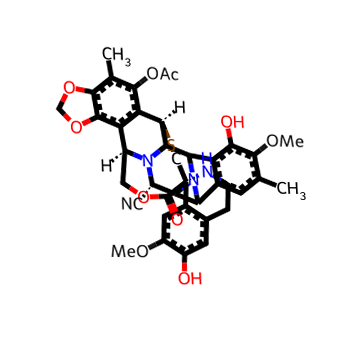 COc1cc2c(cc1O)CCN[C@]21CS[C@@H]2c3c(OC(C)=O)c(C)c4c(c3[C@H](COC1=O)N1C2C2c3c(cc(C)c(OC)c3O)C3C([C@@H]1C#N)N32)OCO4